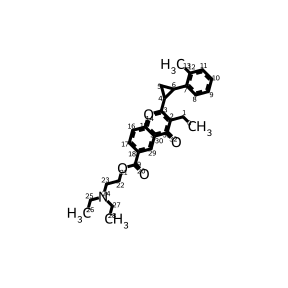 CCc1c(C2CC2c2ccccc2C)oc2ccc(C(=O)OCCN(CC)CC)cc2c1=O